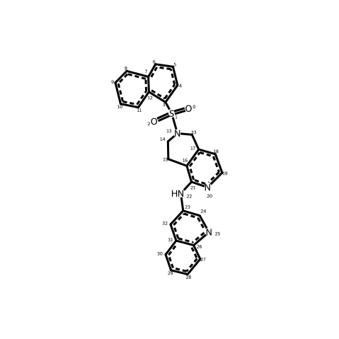 O=S(=O)(c1cccc2ccccc12)N1CCc2c(ccnc2Nc2cnc3ccccc3c2)C1